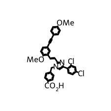 COc1ccc(C#Cc2ccc(OC)c(C=Cc3nc(-c4ccc(Cl)cc4Cl)cn3Cc3ccc(C(=O)O)cc3)c2)cc1